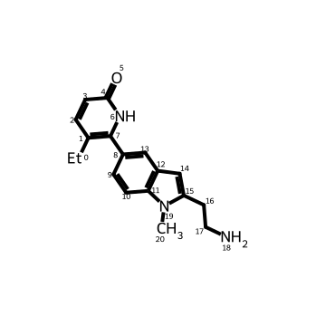 CCc1ccc(=O)[nH]c1-c1ccc2c(c1)cc(CCN)n2C